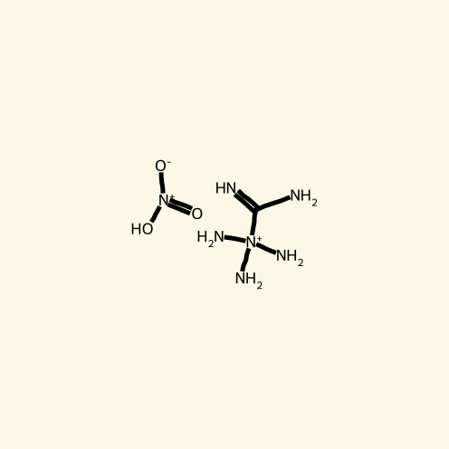 N=C(N)[N+](N)(N)N.O=[N+]([O-])O